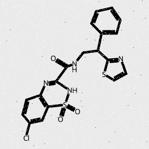 O=C(NCC(c1ccccc1)c1nccs1)C1=Nc2ccc(Cl)cc2S(=O)(=O)N1